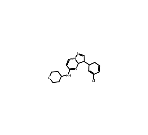 ClC1=CC(C2C=NN3C=CC(NC4CCOCC4)=NC23)CC=C1